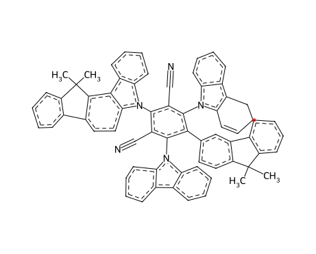 CC1(C)c2ccccc2-c2cc(-c3c(-n4c5c(c6ccccc64)CCC=C5)c(C#N)c(-n4c5ccccc5c5c6c(ccc54)-c4ccccc4C6(C)C)c(C#N)c3-n3c4ccccc4c4ccccc43)ccc21